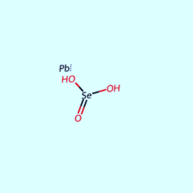 O=[Se](O)O.[Pb]